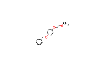 COCCOc1ccc(OCc2ccccc2)cc1